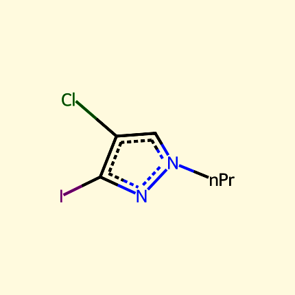 CCCn1cc(Cl)c(I)n1